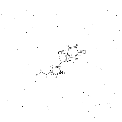 CCCn1cnc(CNc2cc(Cl)ccc2Cl)c1